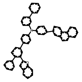 c1ccc(-c2cccc(N(c3ccc(-c4ccc(-c5ccccc5)c(-c5cc6ccccc6o5)c4)cc3)c3ccc(-c4ccc5c(ccc6ccccc65)c4)cc3)c2)cc1